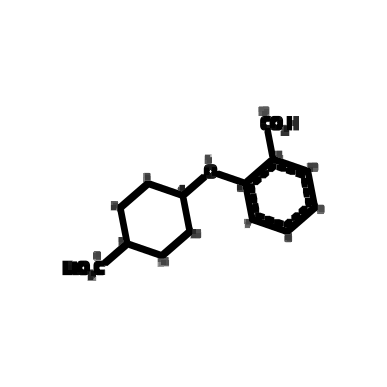 CCOC(=O)C1CCC(Oc2ccccc2C(=O)O)CC1